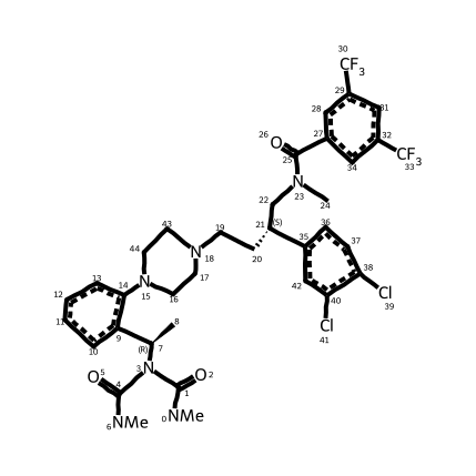 CNC(=O)N(C(=O)NC)[C@H](C)c1ccccc1N1CCN(CC[C@H](CN(C)C(=O)c2cc(C(F)(F)F)cc(C(F)(F)F)c2)c2ccc(Cl)c(Cl)c2)CC1